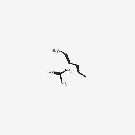 CC=CC=CC(=O)O.N=C(N)N